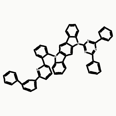 c1ccc(-c2cccc(-c3cccc(-c4ccccc4-n4c5ccccc5c5cc6c(cc54)c4ccccc4n6-c4nc(-c5ccccc5)nc(-c5ccccc5)n4)n3)c2)cc1